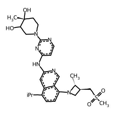 CC(C)c1ccc(N2C[C@H](CS(C)(=O)=O)[C@H]2C)c2cnc(Nc3ccnc(N4CC[C@@](C)(O)C(O)C4)n3)cc12